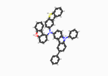 c1ccc(-c2ccc3c(c2)c2cc(N(c4ccc5sc6ccccc6c5c4)c4cccc5oc6ccccc6c45)ccc2n3-c2ccccc2)cc1